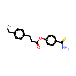 CC(C)Cc1ccc(CCC(=O)Oc2ccc(C(N)=S)cc2)cc1